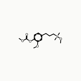 COC(=O)Oc1ccc(CCC[Si](C)(C)OC)cc1OC